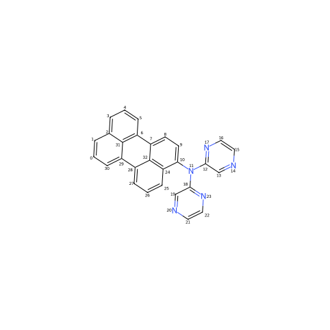 c1cc2cccc3c4ccc(N(c5cnccn5)c5cnccn5)c5cccc(c(c1)c23)c54